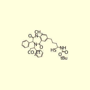 CCOC(=O)CC(c1ccccc1)N1C(=O)c2cc(CCCC(S)NC(=O)OC(C)(C)C)ccc2N(C)C(=O)C1c1ccccc1